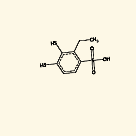 CCc1c(S(=O)(=O)O)ccc(S)c1S